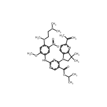 C=C(C)c1ccc2c(n1)C(C)(C)CN2c1nc(Nc2cc([N+](=O)[O-])c(N(C)CCN(C)C)cc2OC)ncc1C(=O)OC(C)C